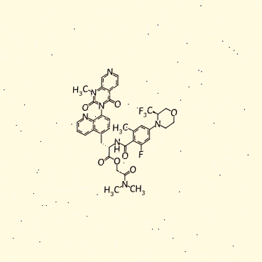 Cc1cc(N2CCOC[C@@H]2C(F)(F)F)cc(F)c1C(=O)N[C@@H](Cc1ccc(-n2c(=O)c3ccncc3n(C)c2=O)c2ncccc12)C(=O)OCC(=O)N(C)C